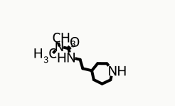 CN(C)C(=O)NCCC1CCCNCC1